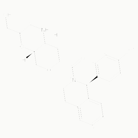 O=C([C@H]1C[C@@H]2NCC(CO)O[C@H]2CO1)N1CCc2ccccc2[C@@H]1c1ccc(F)cc1